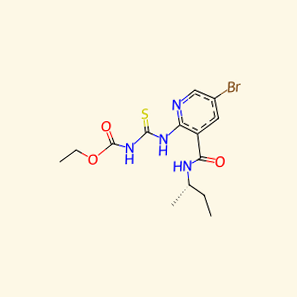 CCOC(=O)NC(=S)Nc1ncc(Br)cc1C(=O)N[C@@H](C)CC